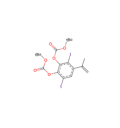 C=C(C)c1cc(I)c(OC(=O)OC(C)(C)C)c(OC(=O)OC(C)(C)C)c1I